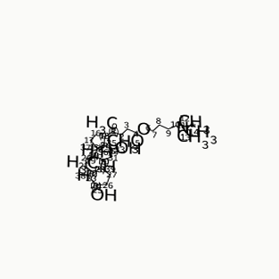 C[C@H](CCC(=O)OCCCC[N+](C)(C)C)[C@H]1CC[C@H]2[C@@H]3CC[C@@H]4C[C@H](O)CC[C@]4(C)[C@H]3C[C@H](O)[C@]12C